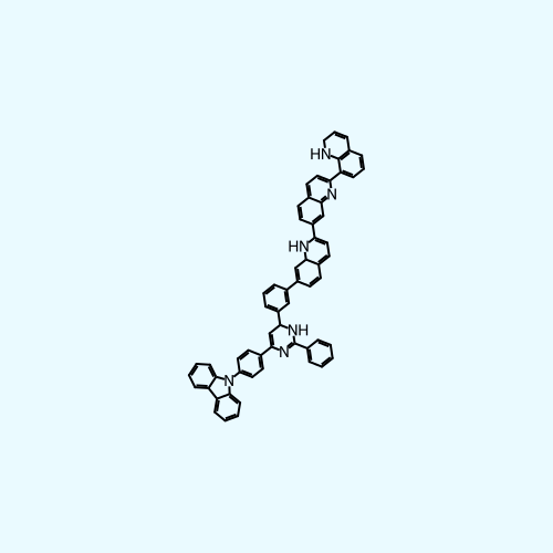 C1=Cc2cccc(-c3ccc4ccc(C5=CC=C6C=CC(c7cccc(C8C=C(c9ccc(-n%10c%11ccccc%11c%11ccccc%11%10)cc9)N=C(c9ccccc9)N8)c7)=CC6N5)cc4n3)c2NC1